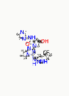 O=C(Nc1cnccn1)[C@@H]1C[C@H](O)CN1c1nc(Nc2cc(C3(C(F)(F)F)CC3)[nH]n2)n2cccc2n1